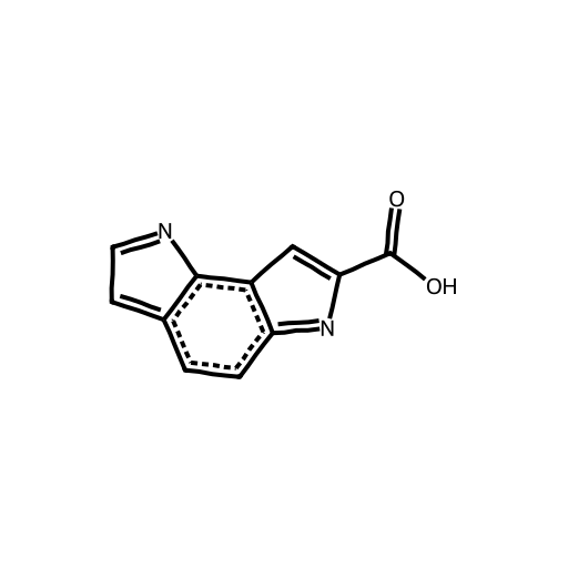 O=C(O)C1=Cc2c3c(ccc2=N1)=CC=N3